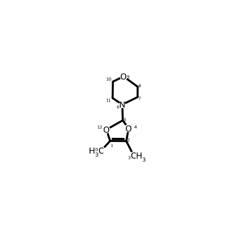 CC1=C(C)OC(N2CCOCC2)O1